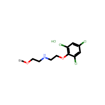 CCOCCNCCOc1c(Cl)cc(Cl)cc1Cl.Cl